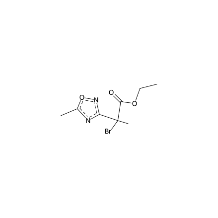 CCOC(=O)C(C)(Br)c1noc(C)n1